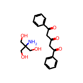 NC(CO)(CO)CO.O=C(CC(=O)c1ccccc1)CC(=O)c1ccccc1